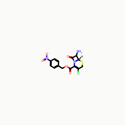 NC1C(=O)N2C(C(=O)OCc3ccc([N+](=O)[O-])cc3)=C(Cl)CS[C@@H]12